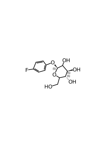 OCC1O[C@@H](Oc2ccc(F)cc2)C(O)[C@@H](O)[C@@H]1O